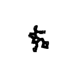 O=C(O)c1cnc2nc(CCl)n(CC3CCO3)n12